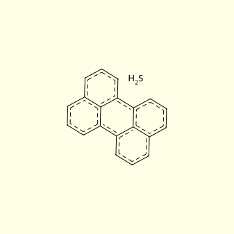 S.c1cc2cccc3c4cccc5cccc(c(c1)c23)c54